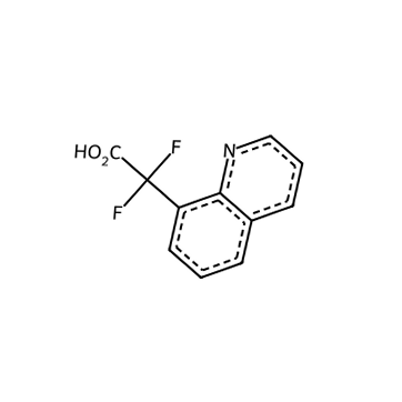 O=C(O)C(F)(F)c1cccc2cccnc12